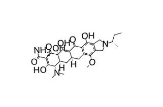 CC[C@H](C)N1Cc2c(O)c3c(c(OC)c2C1)C[C@H]1C[C@H]2[C@H](N(C)C)C(O)=C(C(N)=O)C(=O)[C@@]2(O)C(O)=C1C3=O